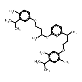 Cc1cc(C(C)C)c(C)cc1OCCC(C)c1cccc(OC(C)CCOc2ccc(C)c(C(C)C)c2)n1